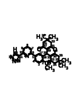 COc1ccc(-c2cccc(-c3nnn[nH]3)n2)cc1C1C2=C(CC(C)(C)CC2=O)OC2=C1C(=O)CC(C)(C)C2